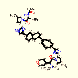 COC(=O)N[C@H](C(=O)N1C[C@@H](C)C[C@H]1c1nc(-c2ccc3cc(-c4ccc(-c5c[nH]c([C@@H]6C[C@H](C)CN6C(=O)[C@H](C6CCOCC6)N(C)C(=O)O)n5)cc4)ccc3c2)c[nH]1)C(C)C